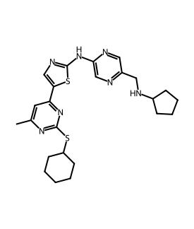 Cc1cc(-c2cnc(Nc3cnc(CNC4CCCC4)cn3)s2)nc(SC2CCCCC2)n1